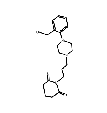 NCc1ccccc1N1CCN(CCCN2C(=O)CCCC2=O)CC1